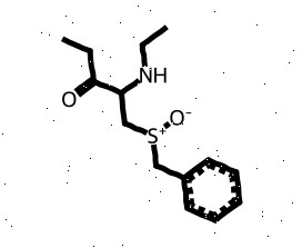 CCNC(C[S+]([O-])Cc1ccccc1)C(=O)CC